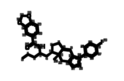 CCCC(C[C@H]1CCC2=Cc3c(cnn3-c3ccc(F)cc3)C[C@@]21C)NC(=O)c1ccc2c(c1)OCO2